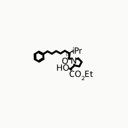 CCOC(=O)C(O)C1CCCN1C(=O)[C@@H](CCCCCc1ccccc1)C(C)C